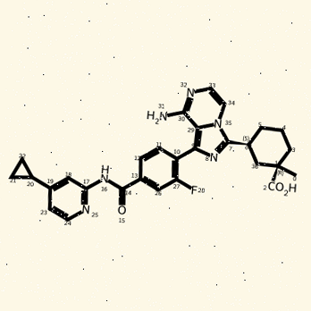 C[C@@]1(C(=O)O)CCC[C@H](c2nc(-c3ccc(C(=O)Nc4cc(C5CC5)ccn4)cc3F)c3c(N)nccn23)C1